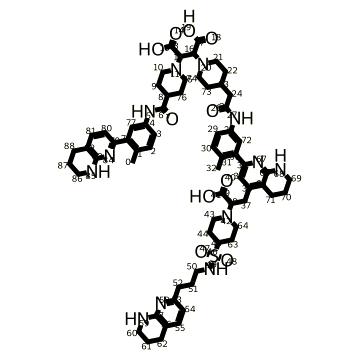 Cc1ccc(NC(=O)C2CCN(C(C(=O)O)C(C(=O)O)N3CCC(CC(=O)Nc4ccc(C)c(-c5cc(CC(C(=O)O)N6CCC(S(=O)(=O)NCCCc7ccc8c(n7)NCCC8)CC6)c6c(n5)NCCC6)c4)CC3)CC2)cc1-c1ccc2c(n1)NCCC2